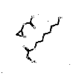 C=CC(=O)OCCCCCCO.CCC(=O)OC1CN1